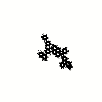 c1ccc(-c2ccc(N(c3ccc(-c4cccc5ccccc45)cc3)c3ccc4ccc5c(N(c6ccccc6)c6ccc7c(c6)-c6ccccc6C76C7CC8CC(C7)CC6C8)ccc6ccc3c4c65)cc2)cc1